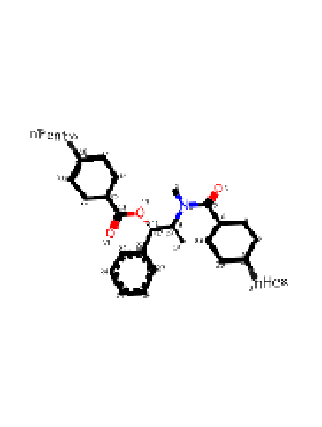 CCCCCCC1CCC(C(=O)N(C)[C@@H](C)[C@@H](OC(=O)C2CCC(CCCCC)CC2)c2ccccc2)CC1